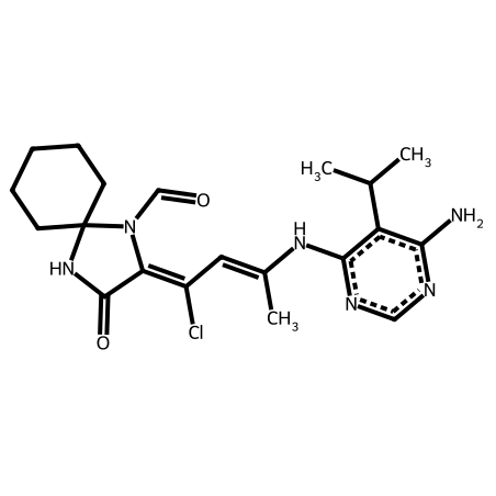 C/C(=C\C(Cl)=C1\C(=O)NC2(CCCCC2)N1C=O)Nc1ncnc(N)c1C(C)C